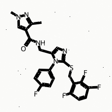 Cc1nn(C)cc1C(=O)NCc1cnc(SCc2c(F)ccc(F)c2F)n1-c1ccc(F)cc1